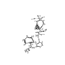 C[C@H](Oc1cccc(NC(=S)NC(=O)c2ccc(C(F)(F)F)cc2)c1)c1ccccc1